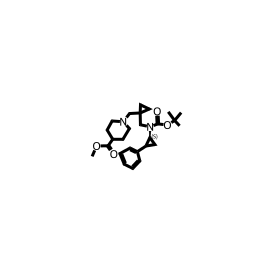 COC(=O)C1CCN(CC2(CN(C(=O)OC(C)(C)C)[C@H]3CC3c3ccccc3)CC2)CC1